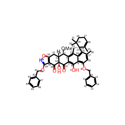 CO[C@H]1c2c(c(O)c3c(OCc4ccccc4)cc(C)c4c3c2C[C@]42C(C)=CCCC2(C)C)C(=O)[C@]2(O)C(=O)c3c(OCc4ccccc4)noc3C[C@H]12